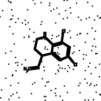 C=NC1CCNc2c(Cl)cc(Cl)cc21